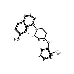 Oc1ccc2nccc(N3CCC(Oc4ccccc4C(F)(F)F)CC3)c2c1